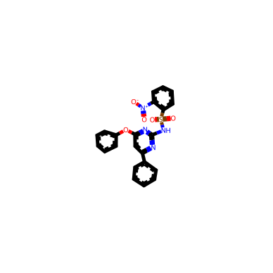 O=[N+]([O-])c1ccccc1S(=O)(=O)Nc1nc(Oc2ccccc2)cc(-c2ccccc2)n1